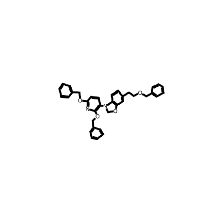 c1ccc(COCCc2ccc3c(c2)OCN3c2ccc(OCc3ccccc3)nc2OCc2ccccc2)cc1